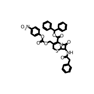 O=C(Cc1ccccc1)NC1C(=O)N2C(C(=O)OC(c3ccccc3)c3ccccc3)=C(COC(=O)Oc3ccc([N+](=O)[O-])cc3)CSC12